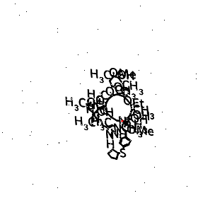 CC[C@H]1OC(=O)[C@H](C)[C@@H](O[C@H]2C[C@@](C)(OC)[C@@H](O)[C@H](C)O2)[C@H](C)[C@@H](O[C@@H]2O[C@H](C)C[C@H](N(C)CCC3=CN([C@H](CF)[C@H](OC)c4ccc(SC5CCCC5)cc4)NN3)[C@H]2O)[C@](C)(O)C[C@@H](C)CN(C)[C@H](C)[C@@H](O)[C@]1(C)O